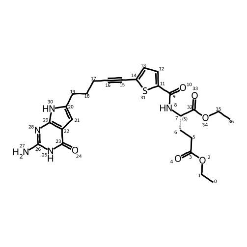 CCOC(=O)CC[C@H](NC(=O)c1ccc(C#CCCCc2cc3c(=O)[nH]c(N)nc3[nH]2)s1)C(=O)OCC